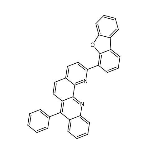 c1ccc(-c2c3ccccc3nc3c2ccc2ccc(-c4cccc5c4oc4ccccc45)nc23)cc1